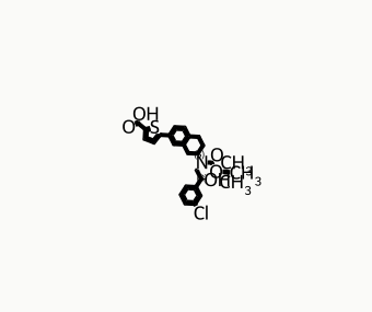 CC(C)(C)OC(=O)N(C[C@H](O)c1cccc(Cl)c1)[C@H]1CCc2ccc(-c3ccc(C(=O)O)s3)cc2C1